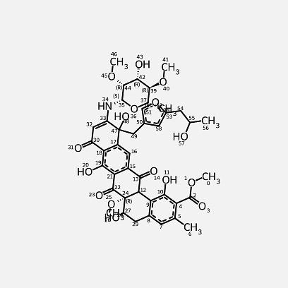 COC(=O)c1c(C)cc2c(c1O)C1C(=O)c3cc4c(c(O)c3C(=O)[C@]1(OC)C(O)C2)C(=O)C=C(N[C@H]1O[C@@H](C)[C@H](OC)[C@@H](O)[C@H]1OC)C4(O)Cc1coc(CC(C)O)c1